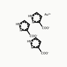 O=C([O-])c1cc[nH]n1.O=C([O-])c1cc[nH]n1.O=C([O-])c1cc[nH]n1.[Au+3]